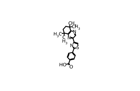 CC1(C)CCC(C)(C)c2nc(-c3csc(-c4ccc(C(=O)O)cc4)n3)cnc21